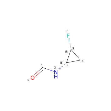 O=CN[C@H]1C[C@H]1F